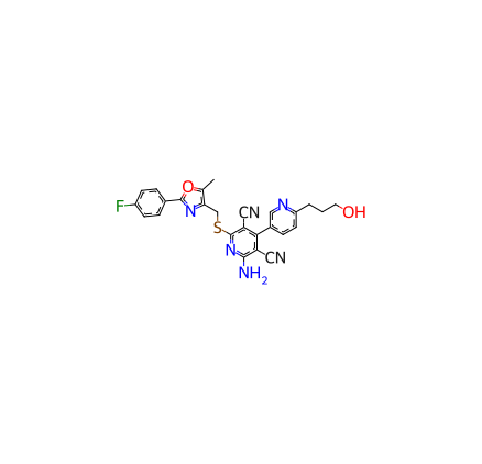 Cc1oc(-c2ccc(F)cc2)nc1CSc1nc(N)c(C#N)c(-c2ccc(CCCO)nc2)c1C#N